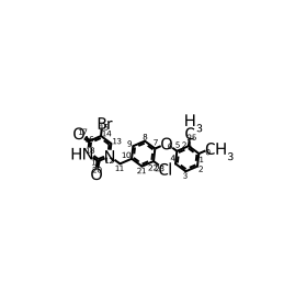 Cc1cccc(Oc2ccc(Cn3cc(Br)c(=O)[nH]c3=O)cc2Cl)c1C